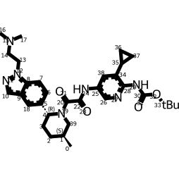 C[C@H]1CC[C@H](c2ccc3c(cnn3CCN(C)C)c2)N(C(=O)C(=O)Nc2cnc(NC(=O)OC(C)(C)C)c(C3CC3)c2)C1